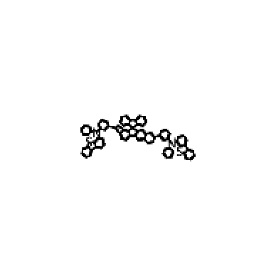 c1ccc(N(c2cccc(-c3ccc4cc5c(cc4c3)C3(c4ccccc4-c4ccccc43)c3c-5ccc4cc(-c5cccc(N(c6ccccc6)c6cccc7c6sc6ccccc67)c5)ccc34)c2)c2cccc3c2sc2ccccc23)cc1